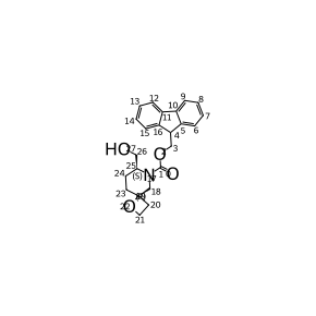 O=C(OCC1c2ccccc2-c2ccccc21)N1C[C@]2(CCO2)CC[C@H]1CO